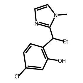 CCC(c1ccc(Cl)cc1O)c1nccn1C